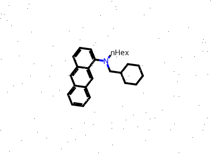 CCCCCCN(CC1CCCCC1)c1cccc2cc3ccccc3cc12